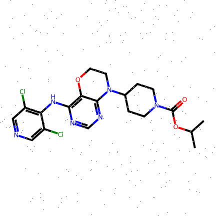 CC(C)OC(=O)N1CCC(N2CCOc3c(Nc4c(Cl)cncc4Cl)ncnc32)CC1